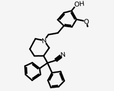 COc1cc(CCN2CCCC(C(C#N)(c3ccccc3)c3ccccc3)C2)ccc1O